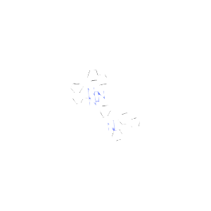 c1ccc2c(-c3nc(-c4ccc(-c5nc6ccccc6c6c5ccc5ccccc56)cc4)nc(-c4cccc5ccccc45)n3)cccc2c1